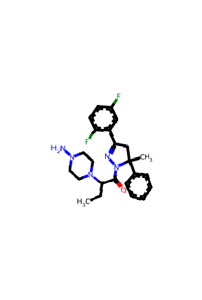 CCC(C(=O)N1N=C(c2cc(F)ccc2F)CC1(C)c1ccccc1)N1CCN(N)CC1